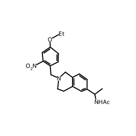 CCOc1ccc(CN2CCc3cc(C(C)NC(C)=O)ccc3C2)c([N+](=O)[O-])c1